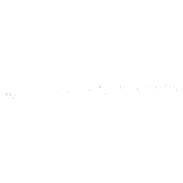 CCCCCCCCCCCCCCCC(=O)OCCOCCOCCOCC